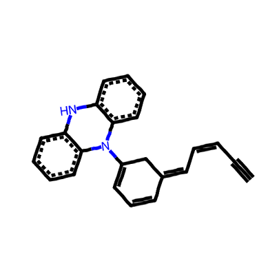 C#C/C=C\C=C1\C=CC=C(N2c3ccccc3Nc3ccccc32)C1